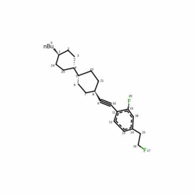 CCCC[C@H]1CC[C@H]([C@H]2CC[C@H](C#Cc3ccc(CCF)cc3F)CC2)CC1